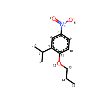 [CH2]C(C)c1cc([N+](=O)[O-])ccc1OCCC